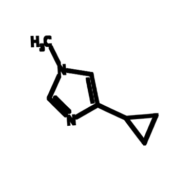 Cn1cnc(C2CC2)c1